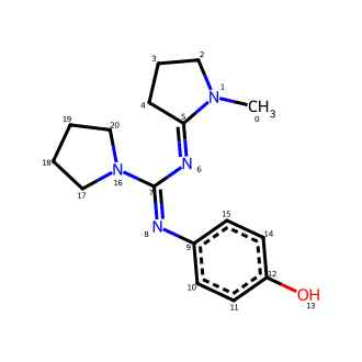 CN1CCCC1=NC(=Nc1ccc(O)cc1)N1CCCC1